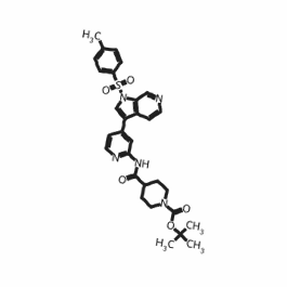 Cc1ccc(S(=O)(=O)n2cc(-c3ccnc(NC(=O)C4CCN(C(=O)OC(C)(C)C)CC4)c3)c3ccncc32)cc1